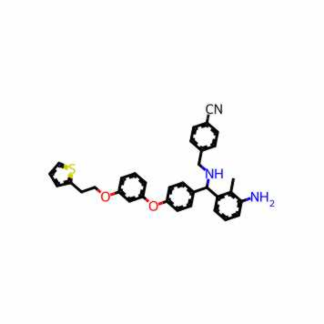 Cc1c(N)cccc1C(NCc1ccc(C#N)cc1)c1ccc(Oc2cccc(OCCc3cccs3)c2)cc1